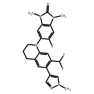 Cn1cc(-c2cc3c(cc2C(F)F)N(c2cc4c(cc2F)n(C)c(=O)n4C)CCC3)cn1